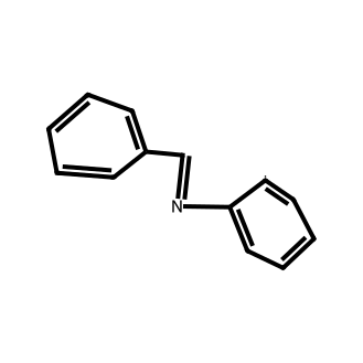 [c]1ccccc1/N=C/c1ccccc1